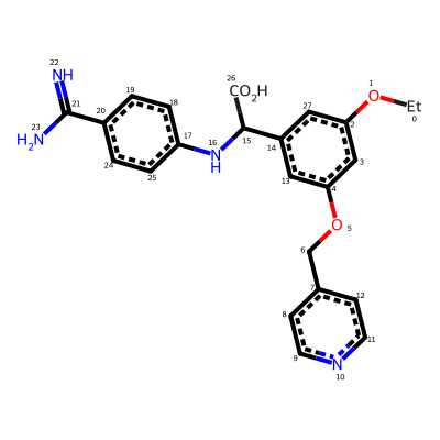 CCOc1cc(OCc2ccncc2)cc(C(Nc2ccc(C(=N)N)cc2)C(=O)O)c1